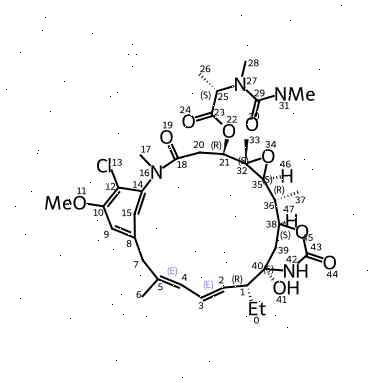 CC[C@@H]1/C=C/C=C(\C)Cc2cc(OC)c(Cl)c(c2)N(C)C(=O)C[C@@H](OC(=O)[C@H](C)N(C)C(=O)NC)[C@]2(C)O[C@H]2[C@H](C)[C@@H]2C[C@@]1(O)NC(=O)O2